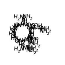 CC[C@H](C)[C@@H]1NC(=O)[C@H](CCCN=C(N)N)NC(=O)[C@@H](NC(=O)[C@H](CC(C)C)NC(=O)[C@@H](N)CCCN=C(N)N)CSSC[C@@H](C(=O)N[C@@H](CCCN=C(N)N)C(=O)O)NC(=O)[C@H](C(C)C)NC(=O)[C@H](CCCN=C(N)N)NC(=O)[C@H]([C@@H](C)CC)NC(=O)[C@H](C(C)C)NC(=O)[C@H](C(C)C)NC1=O